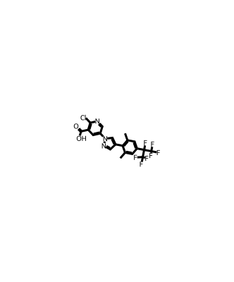 Cc1cc(C(F)(C(F)(F)F)C(F)(F)F)cc(C)c1-c1cnn(-c2cnc(Cl)c(C(=O)O)c2)c1